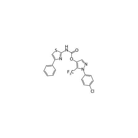 O=C(Nc1nc(-c2ccccc2)cs1)Oc1cnn(-c2ccc(Cl)cc2)c1C(F)(F)F